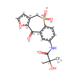 CC(O)(C(=O)Nc1ccc2c(c1)C(=O)c1occc1CS2(=O)=O)C(F)(F)F